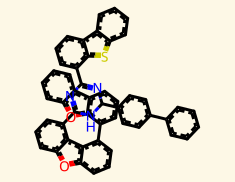 c1ccc(-c2ccc(C3N=C(c4cccc5c4sc4ccccc45)N=C(c4cccc5oc6cccc(-c7cccc8c7oc7ccccc78)c6c45)N3)cc2)cc1